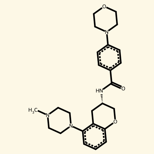 CN1CCN(c2cccc3c2C[C@H](NC(=O)c2ccc(N4CCOCC4)cc2)CO3)CC1